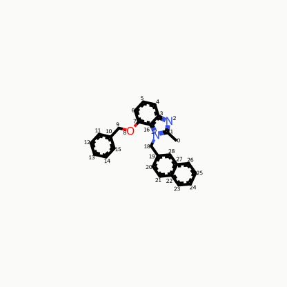 Cc1nc2cccc(OCc3ccccc3)c2n1Cc1ccc2ccccc2c1